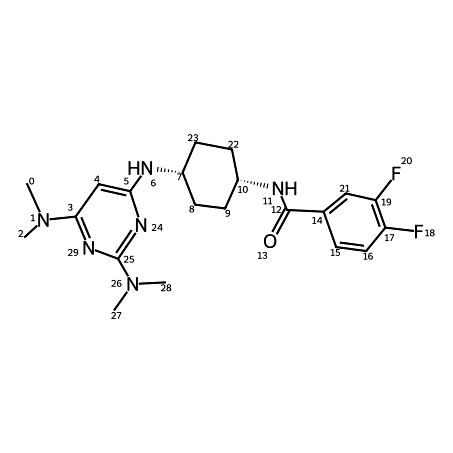 CN(C)c1cc(N[C@H]2CC[C@@H](NC(=O)c3ccc(F)c(F)c3)CC2)nc(N(C)C)n1